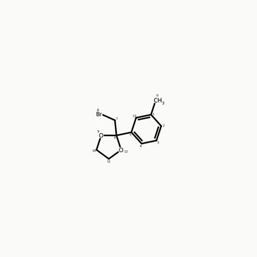 Cc1cccc(C2(CBr)OCCO2)c1